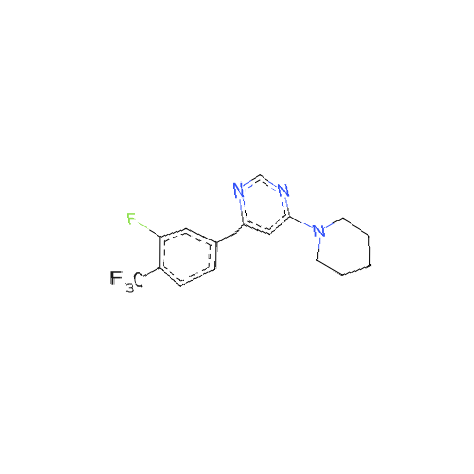 Fc1cc(-c2cc(N3CCCCC3)ncn2)ccc1C(F)(F)F